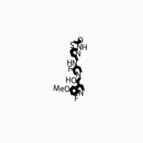 COc1cc(F)c2nccc([C@@H](O)CN3CC[C@@H](NCc4ccc5c(n4)NC(=O)CS5)[C@@H](F)C3)c2c1